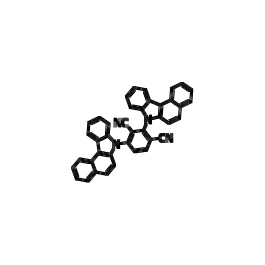 N#Cc1ccc(-n2c3ccccc3c3c4ccccc4ccc32)c(C#N)c1-n1c2ccccc2c2c3ccccc3ccc21